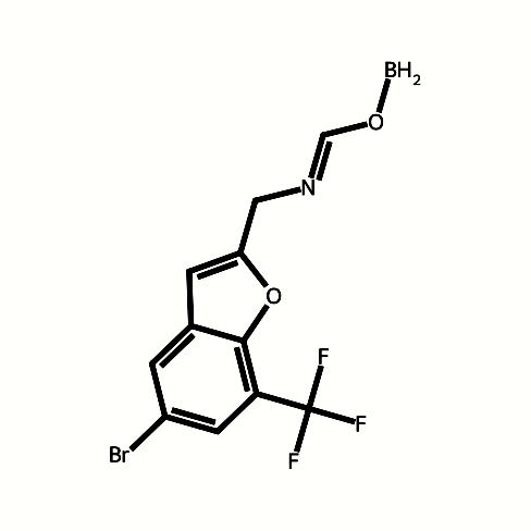 BOC=NCc1cc2cc(Br)cc(C(F)(F)F)c2o1